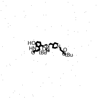 CC(C)(C)OC(=O)CCN1CCC(CNC[C@@H](O[Si](C)(C)C(C)(C)C)c2ccc(O)c3[nH]c(=O)ccc23)CC1